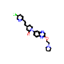 O=c1cc(/C=C/c2ccc(Cl)cn2)ccn1-c1ccc2nc(OCCN3CCCC3)cnc2c1